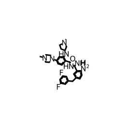 CN1CCN(c2ccc(C(=O)NC(=N)c3cc(Cc4cc(F)cc(F)c4)ccc3N)c(NC3CCN(C)C3)c2)CC1